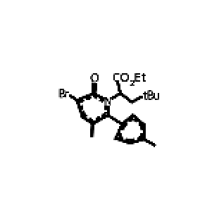 CCOC(=O)C(CC(C)(C)C)n1c(-c2ccc(C)cc2)c(C)cc(Br)c1=O